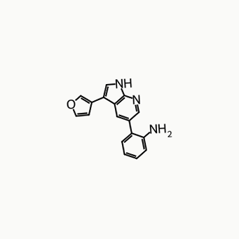 Nc1ccccc1-c1cnc2[nH]cc(-c3ccoc3)c2c1